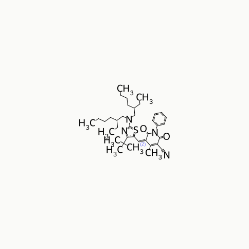 CCCCC(CC)CN(CC(CC)CCCC)c1nc(C(C)(C)C)c(/C=C2\C(=O)N(c3ccccc3)C(=O)C(C#N)=C2C)s1